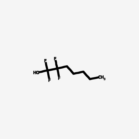 CCCCCC(F)(F)C(O)(F)F